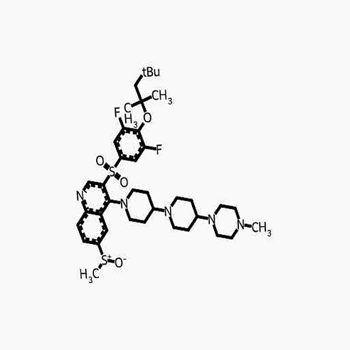 CN1CCN(C2CCN(C3CCN(c4c(S(=O)(=O)c5cc(F)c(OC(C)(C)CC(C)(C)C)c(F)c5)cnc5ccc([S+](C)[O-])cc45)CC3)CC2)CC1